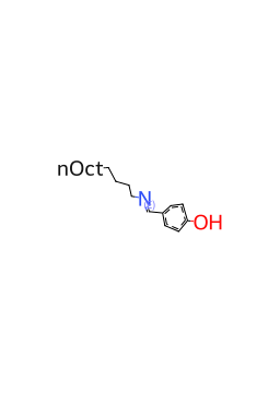 CCCCCCCCCCCC/N=C/c1ccc(O)cc1